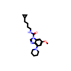 COc1cc(N2CCCCC2)c2ncn(C(=O)NCCCCC3CC3)c2c1